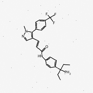 CCC(P)(CC)c1ccc(NC(=O)/C=C/c2cnn(C)c2-c2ccc(C(F)(F)F)cc2)cc1